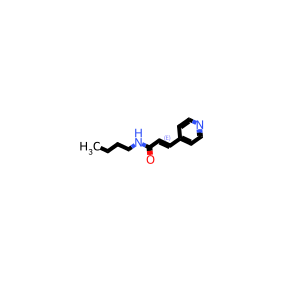 CCCCNC(=O)/C=C/c1ccncc1